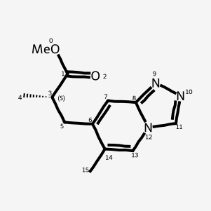 COC(=O)[C@@H](C)Cc1cc2nncn2cc1C